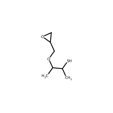 CC(S)C(C)OCC1CO1